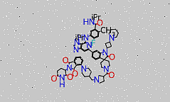 Cc1cc(F)c(Nc2nc(-c3ccc4c(c3)N([C@H]3C[C@@H](N5CCCCC5)C3)C(=O)C43CCN(C(=O)C4CCN(CC5CCN(c6cccc7c6C(=O)N(C6CCC(=O)NC6=O)C7=O)CC5)C4)CC3)cc3ncn(C(C)C)c23)cc1C(=O)NC(C)C